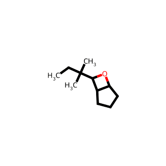 CCC(C)(C)C1OC2CCCC21